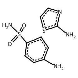 Nc1ccc(S(N)(=O)=O)cc1.Nc1nccs1